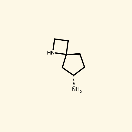 N[C@H]1CC[C@@]2(CCN2)C1